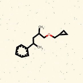 CC(COCC1CC1)CC(C)c1ccccc1